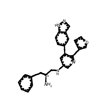 N[C@H](CNc1cnc(-c2ccoc2)c(-c2ccc3[nH]ncc3c2)c1)Cc1ccccc1